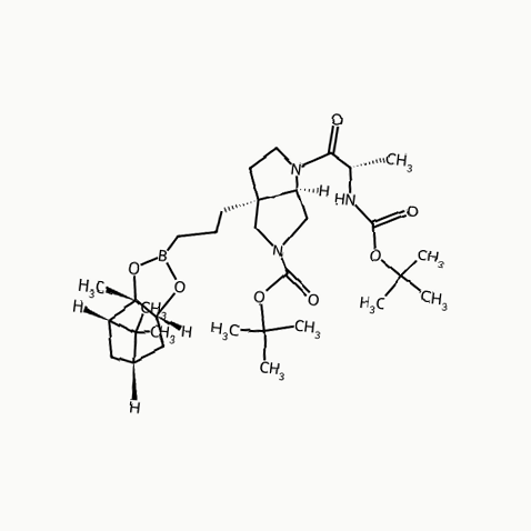 C[C@H](NC(=O)OC(C)(C)C)C(=O)N1CC[C@]2(CCCB3O[C@@H]4C[C@@H]5C[C@@H](C5(C)C)[C@]4(C)O3)CN(C(=O)OC(C)(C)C)C[C@H]12